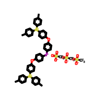 Cc1ccc([S+](c2ccc(C)cc2)c2ccc(Oc3ccc([I+]c4ccc(Oc5ccc([S+](c6ccc(C)cc6)c6ccc(C)cc6)cc5)cc4)cc3)cc2)cc1.O=S(=O)([O-])C(F)(F)F.O=S(=O)([O-])C(F)(F)F.O=S(=O)([O-])C(F)(F)F